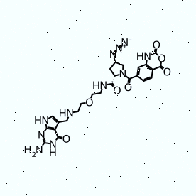 [N-]=[N+]=NC1C[C@@H](C(=O)NCCOCCNCc2c[nH]c3nc(N)[nH]c(=O)c23)N(C(=O)c2ccc3c(=O)oc(=O)[nH]c3c2)C1